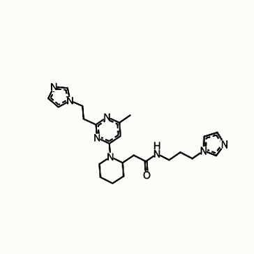 Cc1cc(N2CCCCC2CC(=O)NCCCn2ccnc2)nc(CCn2ccnc2)n1